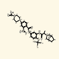 CC(C(=O)Nc1cc(NC(=O)c2ccc(N3CCN(C(=O)O)CC3)cc2[N+](=O)[O-])ccc1OC(F)(F)F)N1CC2CCC(C1)O2